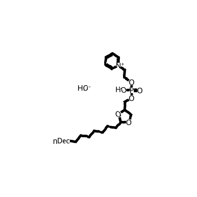 CCCCCCCCCCCCCCCCCC1OCC(COP(=O)(O)OCC[n+]2ccccc2)O1.[OH-]